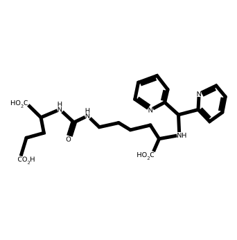 O=C(O)CCC(NC(=O)NCCCCC(NC(c1ccccn1)c1ccccn1)C(=O)O)C(=O)O